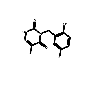 Cc1n[nH]c(=S)n(Cc2cc(F)ccc2Br)c1=O